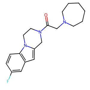 O=C(CN1CCCCCC1)N1CCn2c(cc3cc(F)ccc32)C1